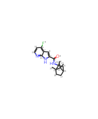 CC1(NC(=O)c2cc3c(F)ccnc3[nH]2)CC2CCC1(C)C2(C)C